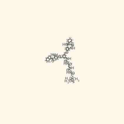 CS(=S)C(C)(C)CCC(=O)NCC(=O)NCC(=O)NCC(=O)Nc1cc(COc2ccc3c(c2)NCC2Cc4ccccc4N2C3=O)cc(COc2ccc3c(c2)NC[C@@H]2Cc4ccccc4N2C3O)c1